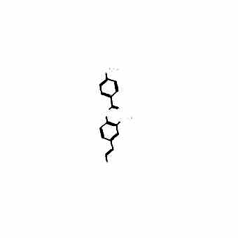 COc1ccc(C(=O)Oc2ccc(/C=C/C(=O)O)cc2OC)cc1